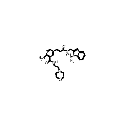 CN(Cc1cc2ccccc2n1C)C(=O)C=Cc1cnc(N)c(C(=O)NCCN2CCOCC2)c1